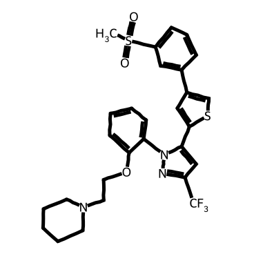 CS(=O)(=O)c1cccc(-c2csc(-c3cc(C(F)(F)F)nn3-c3ccccc3OCCN3CCCCC3)c2)c1